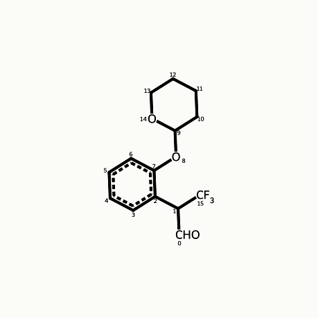 O=CC(c1ccccc1OC1CCCCO1)C(F)(F)F